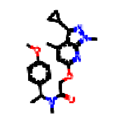 COc1ccc(C(C)N(C)C(=O)COc2cc(C)c3c(C4CC4)nn(C)c3n2)cc1